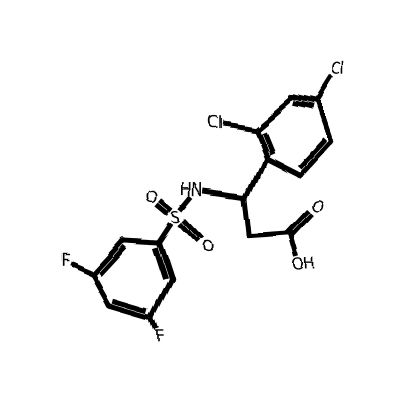 O=C(O)CC(NS(=O)(=O)c1cc(F)cc(F)c1)c1ccc(Cl)cc1Cl